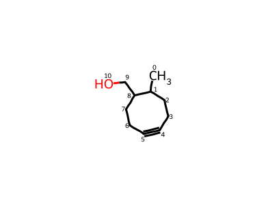 CC1CCC#CCCC1CO